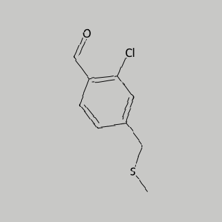 CSCc1ccc(C=O)c(Cl)c1